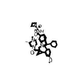 COc1ccc2c(c1)C1CC1(C(=O)N1C[C@@H](C)N(C)[C@@H](C)C1)Cn1c-2c(C2CCCCC2)c2ccc(C(=O)NS(=O)(=O)N3CCC3)cc21